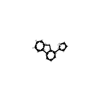 c1csc(-c2cccc3c2Cc2ccccc2-3)c1